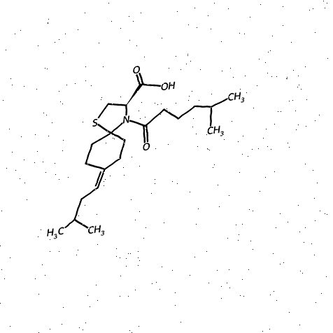 CC(C)CC=C1CCC2(CC1)SC[C@@H](C(=O)O)N2C(=O)CCCC(C)C